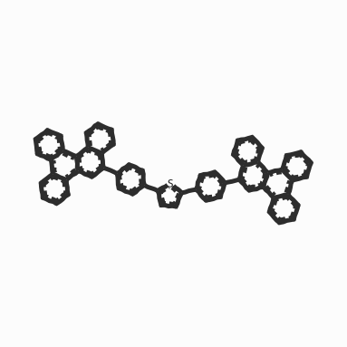 c1ccc2c(c1)c(-c1ccc(-c3ccc(-c4ccc(-c5cc6c7ccccc7c7ccccc7c6c6ccccc56)cc4)s3)cc1)cc1c3ccccc3c3ccccc3c21